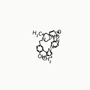 Cc1scnc1-c1cc(CN2CC[C@]3(C=CS(=O)(=O)N3c3cnccn3)C[C@@H]2C)ccc1O